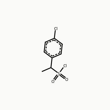 CC(c1ccc(Cl)cc1)S(=O)(=O)Cl